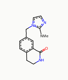 CNc1nccn1Cc1ccc2c(c1)C(=O)NCC2